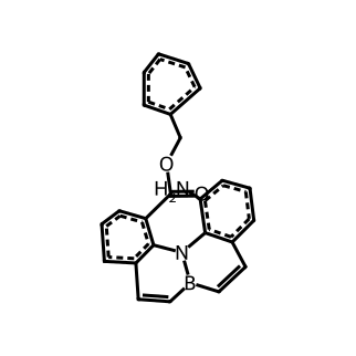 Nc1cccc2c1N1B(C=C2)C=Cc2cccc(C(=O)OCc3ccccc3)c21